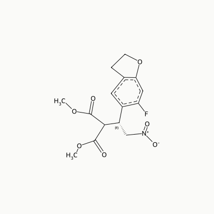 COC(=O)C(C(=O)OC)[C@@H](C[N+](=O)[O-])c1cc2c(cc1F)OCC2